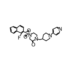 O=C1CN(S(=O)(=O)c2ccc3ccccc3c2F)CCN1CC1CCN(c2ccncc2)CC1